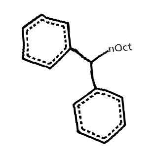 CCCCCCCCC(c1ccccc1)c1ccccc1